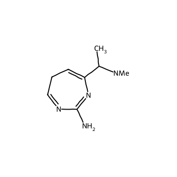 CNC(C)C1=CCC=NC(N)=N1